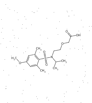 COc1cc(C)c(S(=O)(=O)N(CCOCC(=O)O)C(C)C)c(C)c1